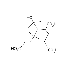 CC(C)(O)C(C(CCC(=O)O)C(=O)O)C(C)(C)CCC(=O)O